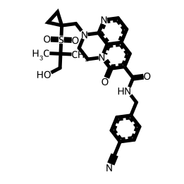 CC(C)(CO)S(=O)(=O)C1(CN2CCn3c(=O)c(C(=O)NCc4ccc(C#N)cc4)cc4ccnc2c43)CC1